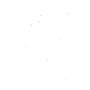 CC(C)CCC(C)Nc1ccc(N=O)cc1.CC(C)Nc1ccc(N=O)cc1.CN(C)c1ccc(N=O)cc1.O=Nc1ccc(Nc2ccccc2)cc1